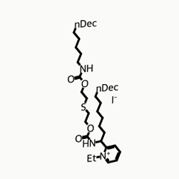 CCCCCCCCCCCCCCCCC(NC(=O)OCCSCCOC(=O)NCCCCCCCCCCCCCCC)c1cccc[n+]1CC.[I-]